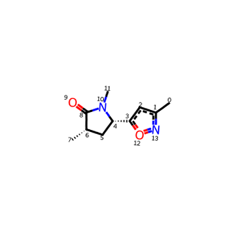 Cc1cc([C@@H]2C[C@H](C)C(=O)N2C)on1